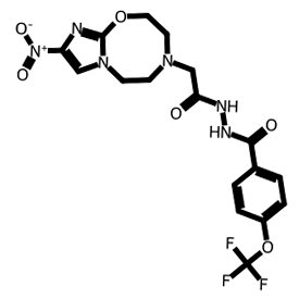 O=C(CN1CCOc2nc([N+](=O)[O-])cn2CC1)NNC(=O)c1ccc(OC(F)(F)F)cc1